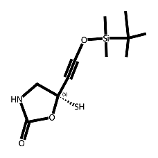 CC(C)(C)[Si](C)(C)OC#C[C@]1(S)CNC(=O)O1